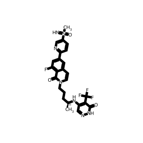 C[C@@H](CCCn1ccc2cc(-c3ccc(S(C)(=N)=O)cn3)cc(F)c2c1=O)Nc1cn[nH]c(=O)c1C(F)(F)F